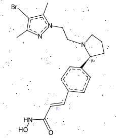 Cc1nn(CCN2CCC[C@H]2c2ccc(/C=C/C(=O)NO)cc2)c(C)c1Br